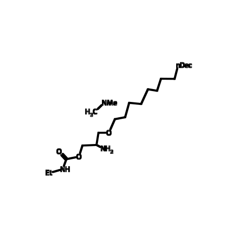 CCCCCCCCCCCCCCCCCCOCC(N)COC(=O)NCC.CNC